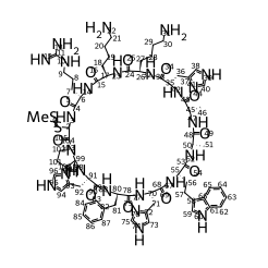 CSSC1NC(=O)[C@H](CCCNC(=N)N)NC(=O)[C@@H](CCCCN)NC(=O)[C@@H](CCCCN)NC(=O)[C@H](Cc2c[nH]cn2)NC(=O)[C@H](C)NC(=O)[C@H](C)NC(=O)[C@H](CCc2c[nH]c3ccccc23)NC(=O)[C@H](Cc2c[nH]cn2)NC(=O)[C@@H](Cc2ccccc2)NC(=O)[C@H](Cc2c[nH]cn2)N[C@@H]2CCCN2C1=O